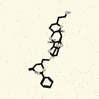 C=C(Br)CC(CC[C@@]12CC3OC4C(O1)[C@H]1OC(CCO)CCC1O[C@H]4C3O2)OC(=O)c1ccccc1